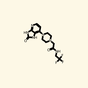 O=C(CN1CCN(c2ccnc3[nH]c(=O)[nH]c23)CC1)NCC(F)(F)F